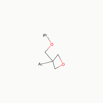 CC(=O)C1(COC(C)C)COC1